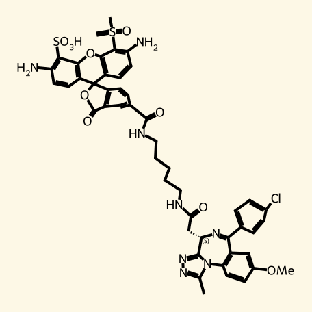 C=S(C)(=O)c1c(N)ccc2c1Oc1c(ccc(N)c1S(=O)(=O)O)C21OC(=O)c2cc(C(=O)NCCCCCNC(=O)C[C@@H]3N=C(c4ccc(Cl)cc4)c4cc(OC)ccc4-n4c(C)nnc43)ccc21